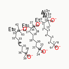 CCC(CCCCCC(C)(C)[O-])C(C)(C)[O-].CCC(CCCCCC(C)(C)[O-])C(C)(C)[O-].CCC(CCCCCC(C)(C)[O-])C(C)(C)[O-].[Al+3].[Al+3]